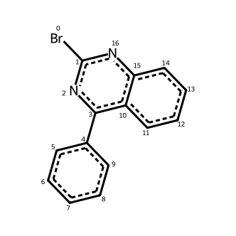 Brc1nc(-c2ccccc2)c2ccccc2n1